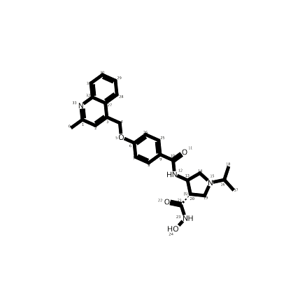 Cc1cc(COc2ccc(C(=O)NC3CN(C(C)C)C[C@@H]3C(=O)NO)cc2)c2ccccc2n1